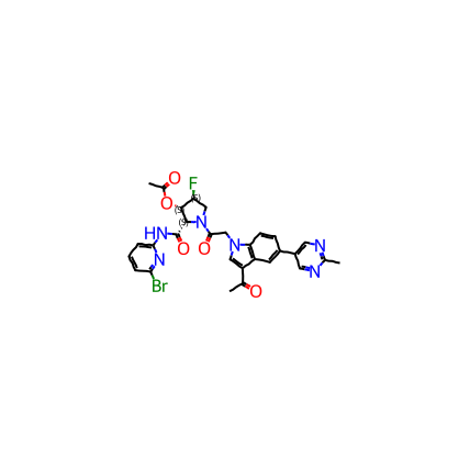 CC(=O)O[C@H]1[C@@H](C(=O)Nc2cccc(Br)n2)N(C(=O)Cn2cc(C(C)=O)c3cc(-c4cnc(C)nc4)ccc32)C[C@@H]1F